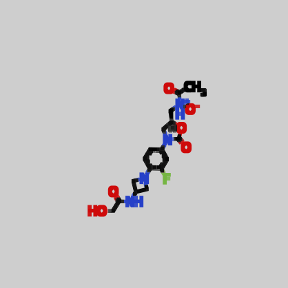 CC(=O)[NH+]([O-])C[C@@H]1CN(c2ccc(N3CC(NC(=O)CO)C3)c(F)c2)C(=O)O1